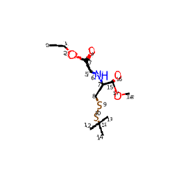 CCOC(=O)CNC(CSSC(C)(C)C)C(=O)OC